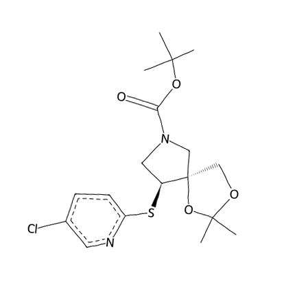 CC(C)(C)OC(=O)N1C[C@H](Sc2ccc(Cl)cn2)[C@@]2(COC(C)(C)O2)C1